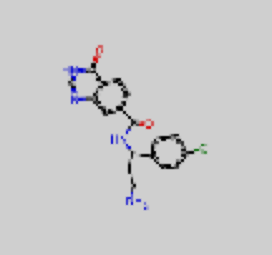 NCCC(NC(=O)c1ccc2c(=O)[nH]cnc2c1)c1ccc(Cl)cc1